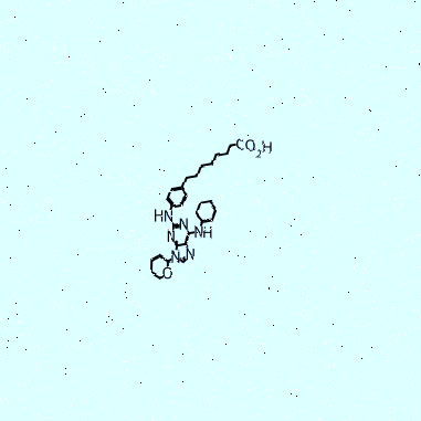 O=C(O)CCCCCCCc1ccc(Nc2nc(NC3CCCCC3)c3ncn(C4CCCCO4)c3n2)cc1